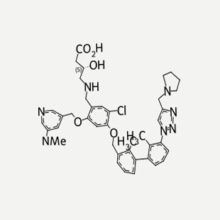 CNc1cncc(COc2cc(OCc3cccc(-c4cccc(-n5cc(CN6CCCC6)nn5)c4C)c3C)c(Cl)cc2CNC[C@@H](O)CC(=O)O)c1